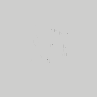 [Tl+].c1c[nH]c([B-](c2ncc[nH]2)(c2ncc[nH]2)c2ncc[nH]2)n1